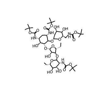 CC[C@@H]1OC(O[C@H]2[C@@H](O)[C@H](O[C@H]3C(O[C@H]4O[C@H](CNC(=O)OC(C)(C)C)C(O)[C@H](O)[C@H]4C)[C@@H](NC(=O)OC(C)(C)C)C[C@@H](NC(=O)OC(C)(C)C)[C@@H]3O)O[C@@H]2CC)[C@H](NC(=O)OC(C)(C)C)[C@@H](O)C1O